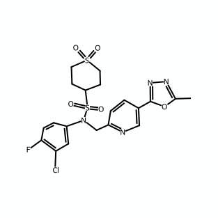 Cc1nnc(-c2ccc(CN(c3ccc(F)c(Cl)c3)S(=O)(=O)C3CCS(=O)(=O)CC3)nc2)o1